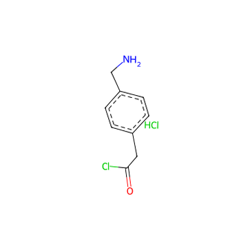 Cl.NCc1ccc(CC(=O)Cl)cc1